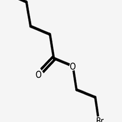 CCCCC(=O)OCCBr